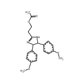 COc1ccc(C2N=C(CCOC(C)=O)NC2c2ccc(OC)cc2)cc1